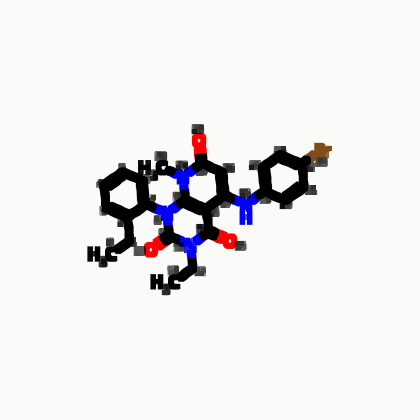 CCc1ccccc1-n1c(=O)n(CC)c(=O)c2c(Nc3ccc(Br)cc3)cc(=O)n(C)c21